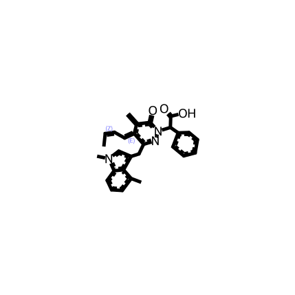 C=c1c(=O)n(C(C(=O)O)c2ccccc2)nc(Cc2cn(C)c3cccc(C)c23)/c1=C/C=C\C